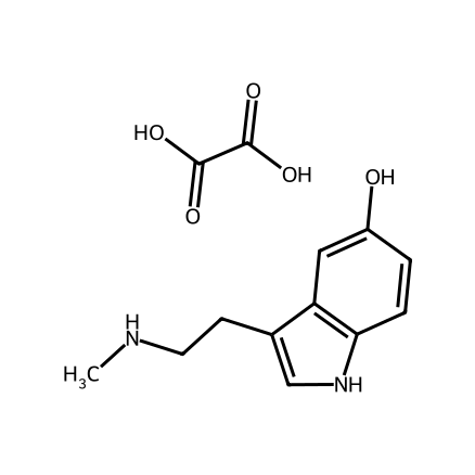 CNCCc1c[nH]c2ccc(O)cc12.O=C(O)C(=O)O